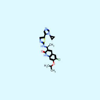 CC(C)Oc1cc2[nH]c(=O)c([C@H](C)Nc3ncc(-c4cncn4C4CC4)s3)cc2cc1Cl